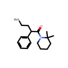 CSCCC(C(=O)N1CC[CH]CC1(C)C)c1ccccc1